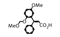 COCOc1ccc(OC)cc1/C(=C/C(=O)O)c1ccccc1